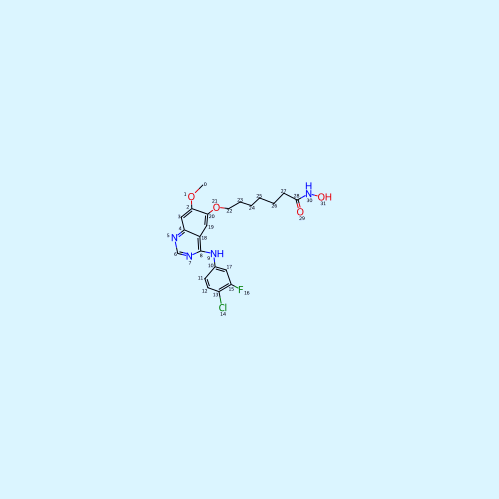 COc1cc2ncnc(Nc3ccc(Cl)c(F)c3)c2cc1OCCCCCCC(=O)NO